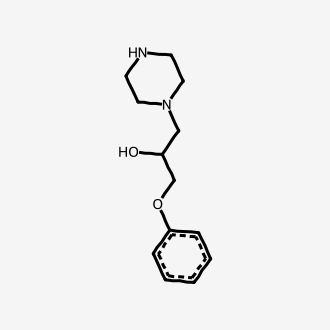 OC(COc1ccccc1)CN1CCNCC1